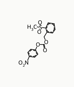 CS(=O)(=O)c1ccccc1COC(=O)Oc1ccc([N+](=O)[O-])cc1